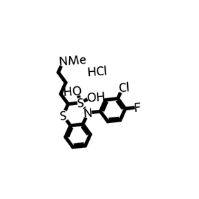 CNCCCC1Sc2ccccc2N(c2ccc(F)c(Cl)c2)S1(O)O.Cl